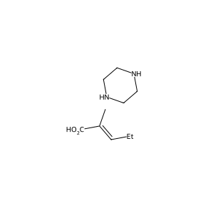 C1CNCCN1.CC/C=C(\C)C(=O)O